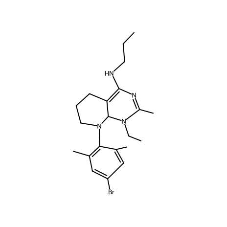 CCCNC1=C2CCCN(c3c(C)cc(Br)cc3C)C2N(CC)C(C)=N1